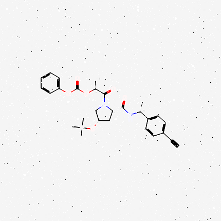 C#Cc1ccc([C@H](C)NC(=O)[C@@H]2C[C@@H](O[Si](C)(C)C(C)(C)C)CN2C(=O)[C@@H](OC(=O)Oc2ccccc2)C(C)(C)C)cc1